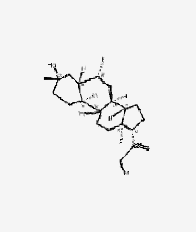 C=C(CBr)[C@H]1CC[C@H]2[C@@H]3C[C@@H](F)[C@H]4C[C@@](C)(O)CC[C@@H]4[C@H]3CC[C@]12C